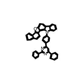 c1ccc(-c2cc(-c3ccc(-n4c5ccccc5c5ccc6oc7c8ccccc8ccc7c6c54)cc3)nc(-c3ccccc3)n2)cc1